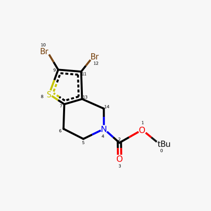 CC(C)(C)OC(=O)N1CCc2sc(Br)c(Br)c2C1